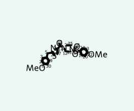 COc1ccc(Cc2nc(C(=O)N3CCN(S(=O)(=O)c4ccc(OC)cc4)CC3)cs2)cc1